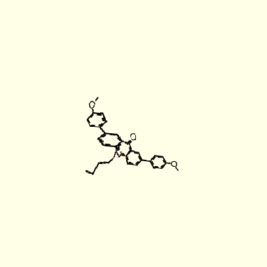 CCCCn1c2ccc(-c3ccc(OC)cc3)cc2c(=O)c2cc(-c3ccc(OC)cc3)ccc21